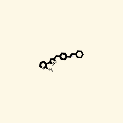 Nc1ncccc1-c1cc(Cc2ccc(/C=C/C3CCCCC3)cc2)no1